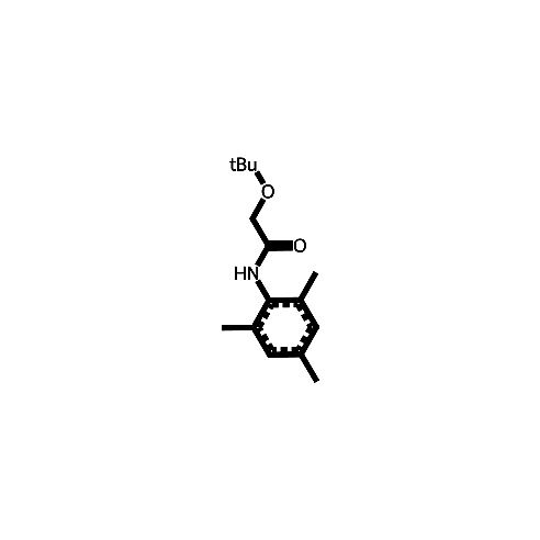 Cc1cc(C)c(NC(=O)COC(C)(C)C)c(C)c1